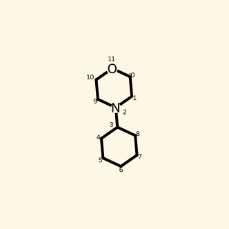 [CH]1CN(C2CCCCC2)CCO1